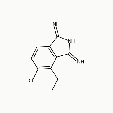 CCc1c(Cl)ccc2c1C(=N)NC2=N